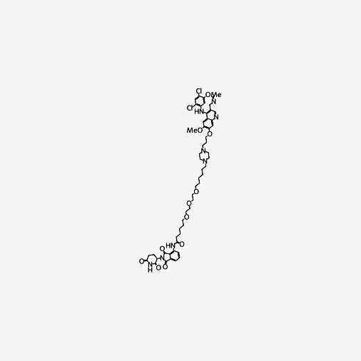 C=NCc1cnc2cc(OCCCN3CCN(CCCCCCOCCOCCOCCCCCC(=O)Nc4cccc5c4C(=O)N(C4CCC(=O)NC4=O)C5=O)CC3)c(OC)cc2c1Nc1cc(OC)c(Cl)cc1Cl